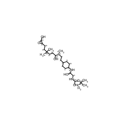 CN(CCC1CCC(NC(O)CNC(O)OC(C)(C)C)CC1)C(O)CCC(C)(C)CCC1OC1O